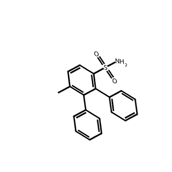 Cc1ccc(S(N)(=O)=O)c(-c2ccccc2)c1-c1ccccc1